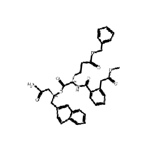 COC(=O)Cc1ccccc1C(=O)N[C@@H](CCCC(=O)OCc1ccccc1)C(=O)O[C@H](CC(N)=O)Cc1ccc2ccccc2c1